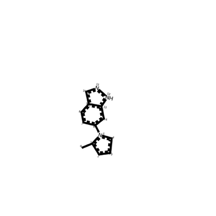 Cc1c[c]cn1-c1ccc2cn[nH]c2c1